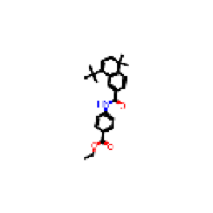 CCOC(=O)c1ccc(NC(=O)c2ccc3c(c2)C(C(C)(C)C)=CCC3(C)C)cc1